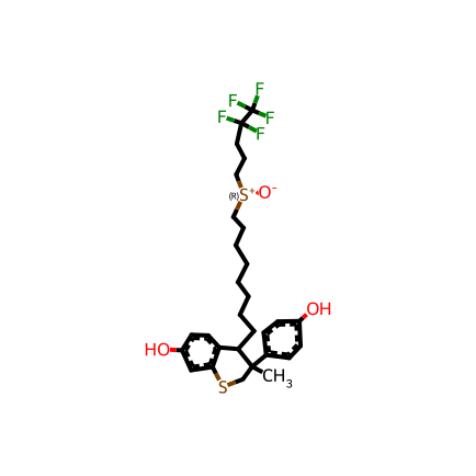 CC1(c2ccc(O)cc2)CSc2cc(O)ccc2C1CCCCCCCC[S@+]([O-])CCCC(F)(F)C(F)(F)F